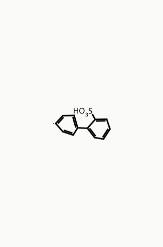 O=S(=O)(O)c1ccccc1-c1cc[c]cc1